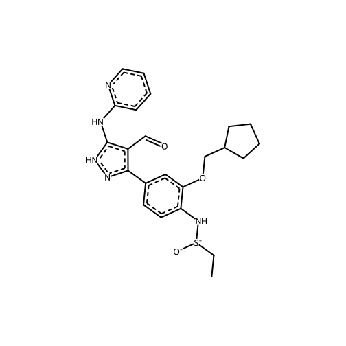 CC[S+]([O-])Nc1ccc(-c2n[nH]c(Nc3ccccn3)c2C=O)cc1OCC1CCCC1